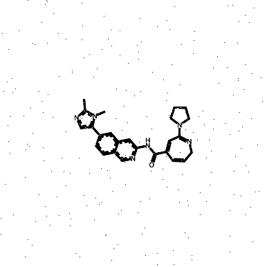 Cc1ncc(-c2ccc3cnc(NC(=O)C4=CC(N5CCCC5)=NCC=C4)cc3c2)n1C